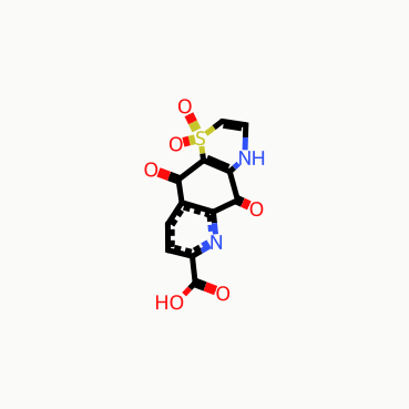 O=C(O)c1ccc2c(n1)C(=O)C1=C(C2=O)S(=O)(=O)C=CN1